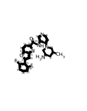 CC1CC(N)CN(c2ccncc2NC(=O)c2ccc3oc(-c4c(F)cccc4F)cc3n2)C1